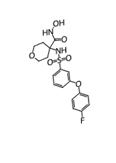 O=C(NO)C1(NS(=O)(=O)c2cccc(Oc3ccc(F)cc3)c2)CCOCC1